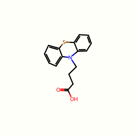 O=C(O)CCCN1c2ccccc2Sc2ccccc21